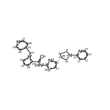 O=C(Nc1nc([C@@H]2CCN(c3ccccn3)C2)cs1)c1cccn1Cc1ccncc1